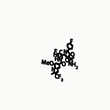 COc1cc(C(=O)NCC(O)(c2cc3c(c(-c4ccc(F)cc4)n2)OC[C@]3(C)C(N)=O)C(F)(F)F)cc2cc(C(F)(F)F)c(C)nc12